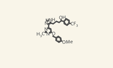 COc1ccc(COc2cc(-c3nn[nH]c3CCCC(O)c3ccc(C(F)(F)F)cc3)nc(C)n2)cc1